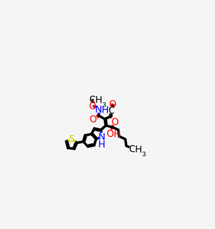 CCCCCC1(O)OC(=C=O)C(C(=O)NOC)=C1c1cc2cc(-c3cccs3)ccc2[nH]1